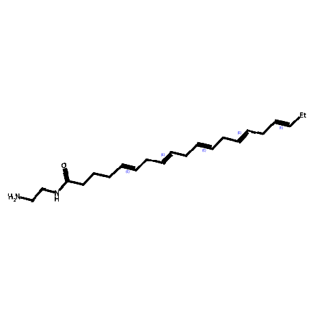 CC/C=C/C/C=C/C/C=C/C/C=C/C/C=C/CCCC(=O)NCCN